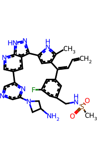 C=C/C=C(/c1cc(F)cc(CNS(C)(=O)=O)c1)c1cc(-c2n[nH]c3ncc(-c4cncc(N5CC(N)C5)n4)cc23)[nH]c1C